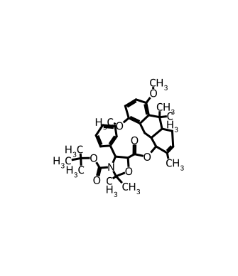 COc1ccc(OC)c2c1CC1C(OC(=O)C3OC(C)(C)N(C(=O)OC(C)(C)C)C3c3ccccc3)C(C)=CCC1C2(C)C